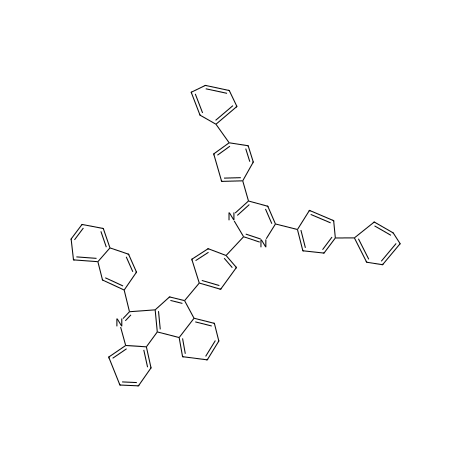 c1ccc(-c2ccc(-c3cc(-c4ccc(-c5ccccc5)cc4)nc(-c4ccc(-c5cc6c(-c7ccc8ccccc8c7)nc7ccccc7c6c6ccccc56)cc4)n3)cc2)cc1